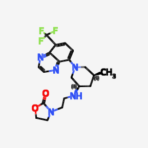 C[C@H]1C[C@@H](NCCN2CCOC2=O)CN(c2ccc(C(F)(F)F)c3nccnc23)C1